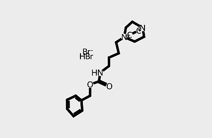 Br.O=C(NCCCC[N+]12CCN(CC1)CC2)OCc1ccccc1.[Br-]